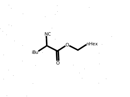 [C-]#[N+]C(C(=O)OCCCCCCC)C(C)CC